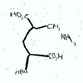 CCCCC(CC(C)C(=O)O)C(=O)O.N